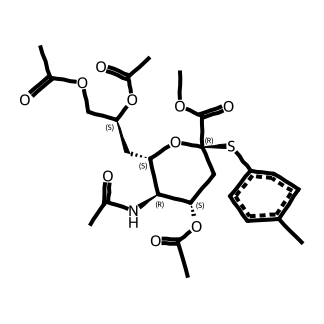 COC(=O)[C@]1(Sc2ccc(C)cc2)C[C@H](OC(C)=O)[C@@H](NC(C)=O)[C@H](C[C@@H](COC(C)=O)OC(C)=O)O1